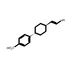 CCCC=C[C@H]1CC[C@H](c2ccc(C(=O)O)cc2)CC1